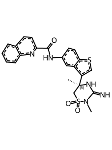 CN1C(=N)N[C@](C)(c2csc3ccc(NC(=O)c4ccc5ccccc5n4)cc23)CS1(=O)=O